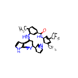 Cc1ccc(C(=O)Nc2cc(C(F)(F)F)cc(C(F)(F)F)c2)cc1Nc1cc(-c2cccnc2)nc2[nH]ccc12